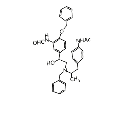 CC(=O)Nc1ccc(CC(C)N(Cc2ccccc2)CC(O)c2ccc(OCc3ccccc3)c(NC=O)c2)cc1